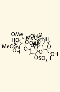 COC1C(CO)OC(OC2C(C)C(OS(=O)(=O)O)[C@H](OC3C(CO)OC(C)C(NS(=O)(=O)OC)C3O)O[C@H]2OC(C)=O)C(NS(=O)(=O)OC)C1O